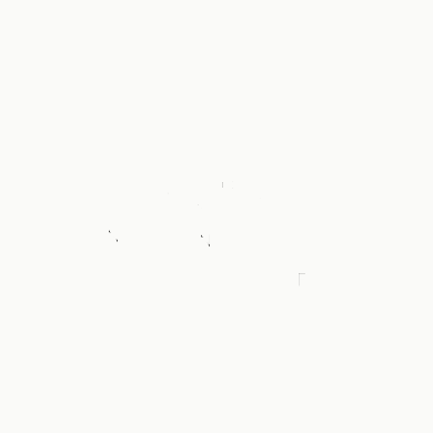 CCC(C)(C)C(=O)N(CC#N)Cc1ccccc1F